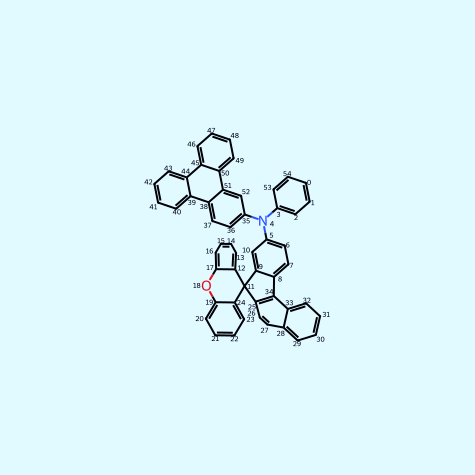 c1ccc(N(c2ccc3c(c2)C2(c4ccccc4Oc4ccccc42)c2ccc4ccccc4c2-3)c2ccc3c4ccccc4c4ccccc4c3c2)cc1